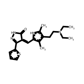 CCN(CC)CCc1c(C)[nH]c(C=C2C(=O)NN=C2c2cccs2)c1C